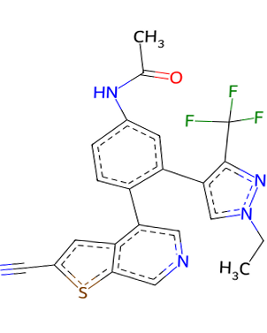 CCn1cc(-c2cc(NC(C)=O)ccc2-c2cncc3sc(C#N)cc23)c(C(F)(F)F)n1